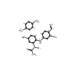 CC(=O)N(F)c1cc(Br)ccc1Nc1ccc(C=O)c(Cl)c1.Cc1ccc(C)cc1